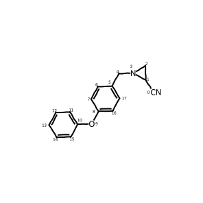 N#CC1CN1Cc1ccc(Oc2ccccc2)cc1